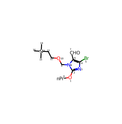 CCCOc1nc(Br)c(C=O)n1COCC[Si](C)(C)C